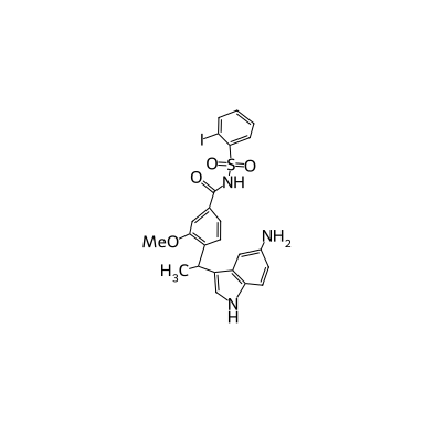 COc1cc(C(=O)NS(=O)(=O)c2ccccc2I)ccc1C(C)c1c[nH]c2ccc(N)cc12